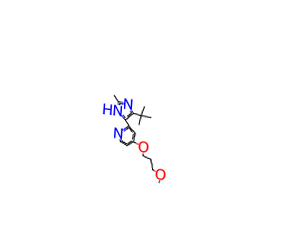 COCCCOc1ccnc(-c2[nH]c(C)nc2C(C)(C)C)c1